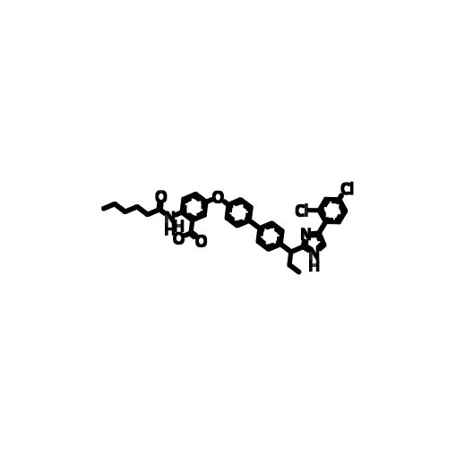 CCCCCC(=O)Nc1ccc(Oc2ccc(-c3ccc(C(CC)c4nc(-c5ccc(Cl)cc5Cl)c[nH]4)cc3)cc2)cc1C(=O)O